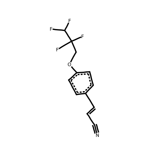 N#C/C=C/c1ccc(OCC(F)(F)C(F)F)cc1